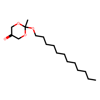 CCCCCCCCCCCCOC1(C)OCC(=O)CO1